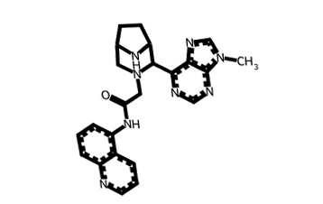 Cn1cnc2c(C3C4CCC(CN3CC(=O)Nc3cccc5ncccc35)N4)ncnc21